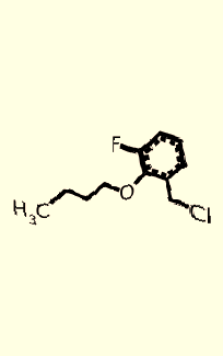 CCCCOc1c(F)cccc1CCl